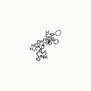 C[C@H](NP(=O)(OC[C@H]1O[C@@H](n2ccc(=O)[nH]c2=S)[C@](C)(O)C1O)Oc1ccccc1)C(=O)OC1CCCCC1